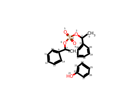 CC(OS(=O)(=O)OC(C)c1ccccc1)c1ccccc1.Oc1ccccc1